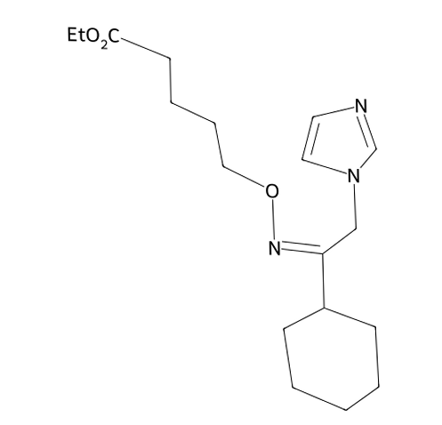 CCOC(=O)CCCCON=C(Cn1ccnc1)C1CCCCC1